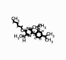 CCCCCOc1nc(C)c(-c2ccc(C(C)C)cc2OC)nc1NC